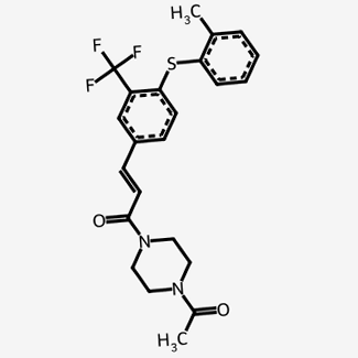 CC(=O)N1CCN(C(=O)C=Cc2ccc(Sc3ccccc3C)c(C(F)(F)F)c2)CC1